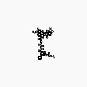 CC[C@@]1(O)C(=O)OCc2c1cc1n(c2=O)Cc2c-1nc1cc(F)c(C)c3c1c2[C@@H](NC(=O)CCCNC(=O)CNC(=O)[C@H](CCc1ccccc1)NC(=O)CNC(=O)CN)CC3